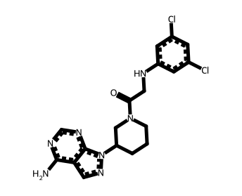 Nc1ncnc2c1cnn2C1CCCN(C(=O)CNc2cc(Cl)cc(Cl)c2)C1